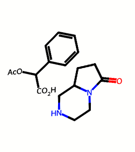 CC(=O)OC(C(=O)O)c1ccccc1.O=C1CCC2CNCCN12